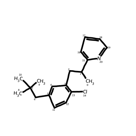 CC(Cc1cc(CC(C)(C)C)ccc1Cl)c1ccccn1